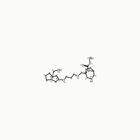 CC(C)(C)OC(=O)N1C2CCC1(COCCCO[C@H]1CN3CCC[C@]3(CO)C1)CNC2